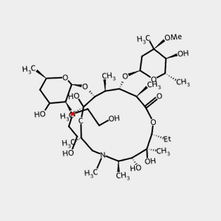 CC[C@H]1OC(=O)[C@H](C)[C@@H](O[C@H]2C[C@@](C)(OC)[C@@H](O)[C@H](C)O2)[C@H](C)[C@@H](O[C@@H]2O[C@H](C)CC(O)[C@@H]2N(CCO)CCO)[C@](C)(O)C[C@@H](C)CN(C)[C@H](C)[C@@H](O)[C@]1(C)O